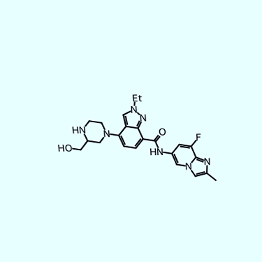 CCn1cc2c(N3CCNC(CO)C3)ccc(C(=O)Nc3cc(F)c4nc(C)cn4c3)c2n1